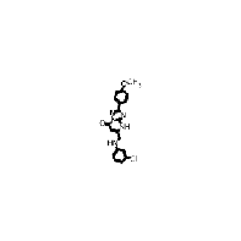 COc1ccc(-c2nc3[nH]c(CNc4cccc(Cl)c4)cc(=O)n3n2)cc1